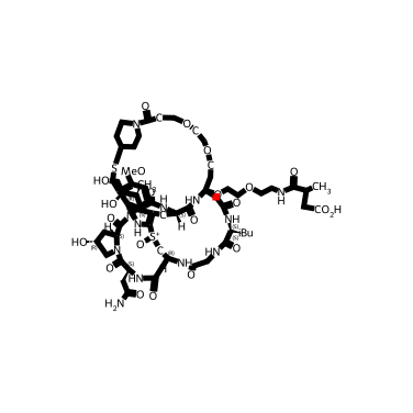 CC[C@H](C)[C@@H]1NC(=O)CC2(OCCOCCNC(=O)C(C)CC(=O)O)CCOCCOCCC(=O)N3CCC(CC3)SCc3c(OC)ccc4c5c([nH]c34)[S+]([O-])C[C@H](NC(=O)CNC1=O)C(=O)N[C@@H](CC(N)=O)C(=O)N1C[C@H](O)C[C@H]1C(=O)N[C@@H]([C@@H](C)[C@@H](O)CO)C(=O)N[C@@H](C5)C(=O)N2